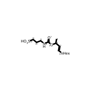 CCCCCC/C=C/C(C)OC(=O)NCCCS(=O)(=O)O